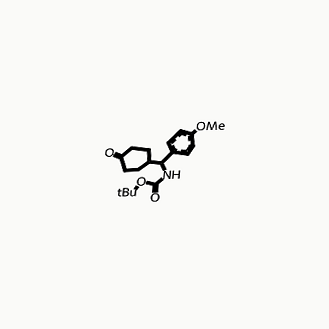 COc1ccc(C(NC(=O)OC(C)(C)C)C2CCC(=O)CC2)cc1